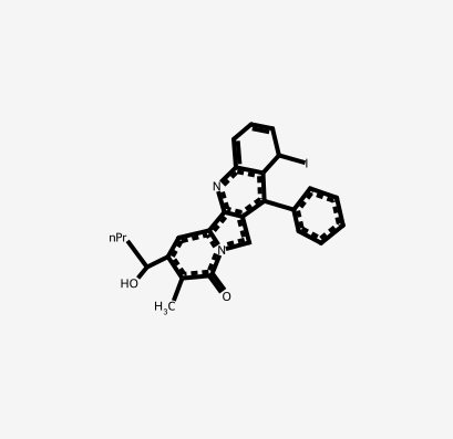 CCCC(O)c1cc2c3nc4c(c(-c5ccccc5)c3cn2c(=O)c1C)C(I)C=CC=4